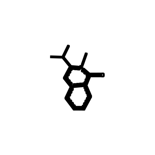 CC(C)c1cc2ccccc2c(=O)n1C